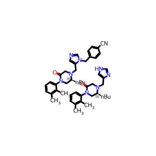 CCCC[C@H]1CN(c2cccc(C)c2C)C(=O)CN1Cc1c[nH]cn1.CCCC[C@H]1CN(c2cccc(C)c2C)C(=O)CN1Cc1cncn1Cc1ccc(C#N)cc1